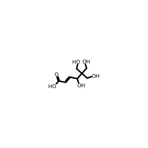 O=C(O)C=CC(O)C(CO)(CO)CO